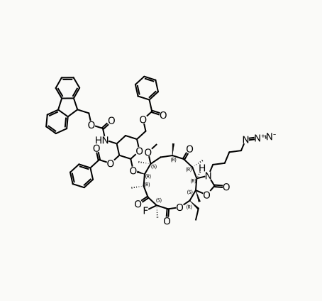 CC[C@H]1OC(=O)[C@@](C)(F)C(=O)[C@H](C)[C@@H](OC2OC(COC(=O)c3ccccc3)CC(NC(=O)OCC3c4ccccc4-c4ccccc43)C2OC(=O)c2ccccc2)[C@@](C)(OC)C[C@@H](C)C(=O)[C@H](C)[C@H]2N(CCCCN=[N+]=[N-])C(=O)O[C@]12C